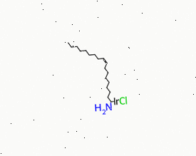 CCCCCCCC/C=C\CCCCCCC[CH](N)[Ir][Cl]